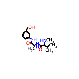 CNC(C(=O)N[C@@H](C)C(=O)Nc1cccc(CO)c1)C(C)C